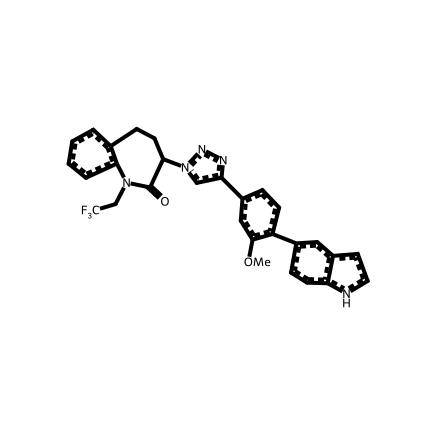 COc1cc(-c2cn(C3CCc4ccccc4N(CC(F)(F)F)C3=O)nn2)ccc1-c1ccc2[nH]ccc2c1